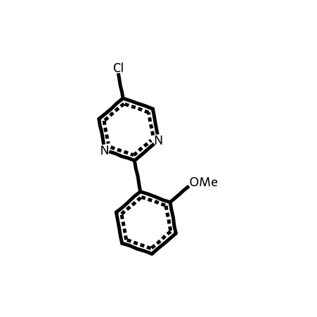 COc1ccccc1-c1ncc(Cl)cn1